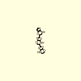 c1cc2c(s1)NCC(C1=NC3OCC(C4=NC5NCCOC5O4)NC3O1)O2